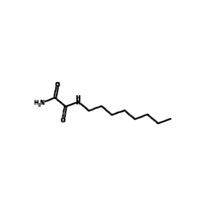 CCCCCCCCNC(=O)C(N)=O